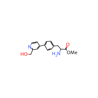 COC(=O)C(N)Cc1ccc(-c2ccnc(CO)c2)cc1